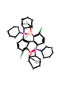 CCOC(=O)COc1c(Cl)ccc(P(=O)(C2CCCCC2)C2CCCCC2)c1-c1c(P(=O)(C2CCCCC2)C2CCCCC2)ccc(Cl)c1OCC(=O)OCC